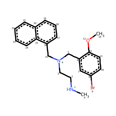 CNCCN(Cc1cc(Br)ccc1OC)Cc1cccc2ccccc12